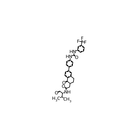 CC(C)[C@@H](C=O)NC(=O)CC1CCc2cc(-c3ccc(NC(=O)Nc4cccc(C(F)(F)F)c4)cc3)ccc2C1=O